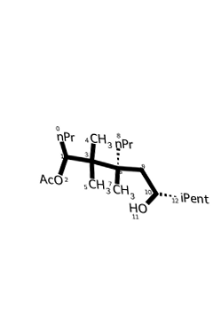 CCCC(OC(C)=O)C(C)(C)[C@@](C)(CCC)CC(O)[C@@H](C)CCC